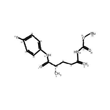 C=C(CC[C@H](C)C(=O)Nc1ccc(F)cc1)NC(=O)OC(C)(C)C